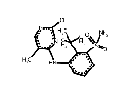 Cc1cnc(Cl)nc1Nc1cccc(S(N)(=O)=O)c1C(C)(C)C